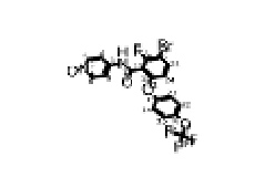 O=C(Nc1cc[n+]([O-])cc1)c1c(Oc2ccc(OC(F)(F)F)cc2)ccc(Br)c1F